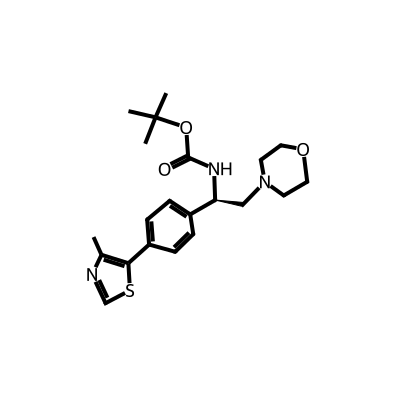 Cc1ncsc1-c1ccc([C@H](CN2CCOCC2)NC(=O)OC(C)(C)C)cc1